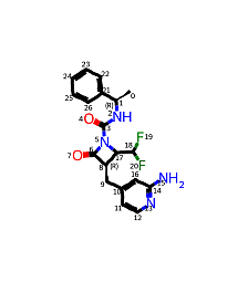 C[C@@H](NC(=O)N1C(=O)[C@H](Cc2ccnc(N)c2)C1C(F)F)c1ccccc1